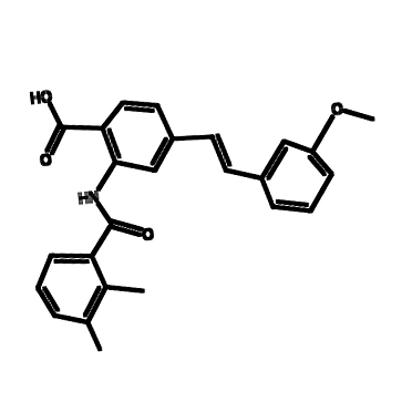 COc1cccc(C=Cc2ccc(C(=O)O)c(NC(=O)c3cccc(C)c3C)c2)c1